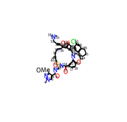 COc1nn(C)cc1C(=O)/N=C/S1(=O)=NC(=O)c2ccc3c(c2)N(C[C@@H]2CC[C@H]2[C@@](O)(C#CCN(C)C)/C=C/C[C@H](C)C1)C[C@@]1(CCCc2cc(Cl)ccc21)CO3